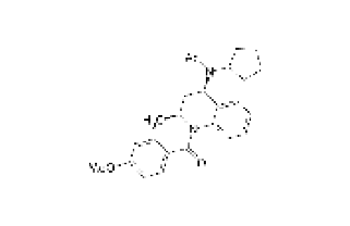 COc1ccc(C(=O)N2c3ccccc3[C@H](N(C(C)=O)C3CCCC3)C[C@@H]2C)cc1